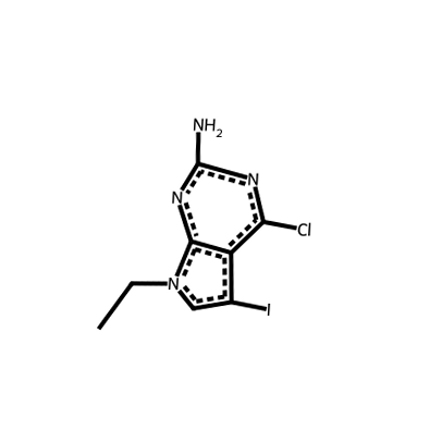 CCn1cc(I)c2c(Cl)nc(N)nc21